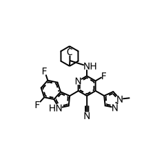 Cn1cc(-c2c(F)c(NC3CC4CCC3CC4)nc(-c3c[nH]c4c(F)cc(F)cc34)c2C#N)cn1